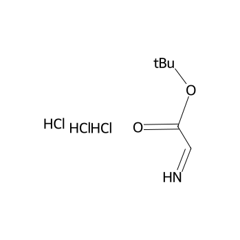 CC(C)(C)OC(=O)C=N.Cl.Cl.Cl